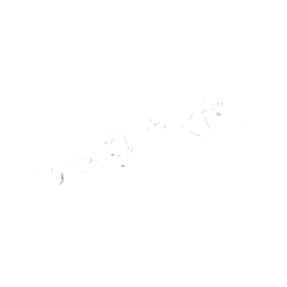 O=C(O)CCNCc1ccc(CC=NOCc2ccc(C3CCCCC3)c(C(F)(F)F)c2)nc1Cl